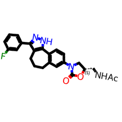 CC(=O)NC[C@H]1CN(c2ccc3c(c2)CCCc2c(-c4cccc(F)c4)n[nH]c2-3)C(=O)O1